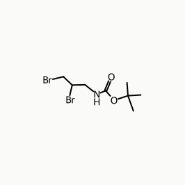 CC(C)(C)OC(=O)NCC(Br)CBr